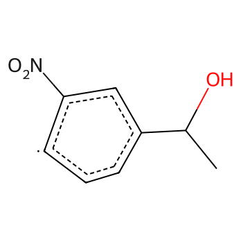 CC(O)c1cc[c]c([N+](=O)[O-])c1